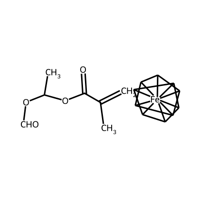 C=C(C)C(=O)OC(C)OC=O.[CH]12[CH]3[CH]4[CH]5[CH]1[Fe]23451678[CH]2[CH]1[CH]6[CH]7[CH]28